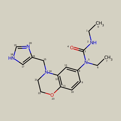 CCNC(=O)N(CC)c1ccc2c(c1)N(Cc1c[nH]cn1)CCO2